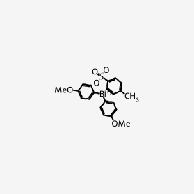 COc1cc[c]([Bi+][c]2ccc(OC)cc2)cc1.Cc1ccc(S(=O)(=O)[O-])cc1